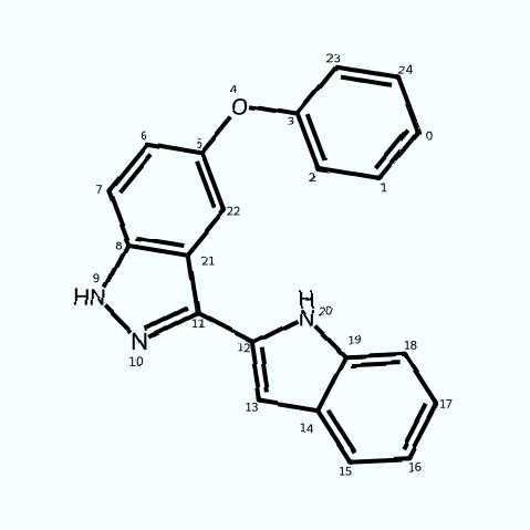 c1ccc(Oc2ccc3[nH]nc(-c4cc5ccccc5[nH]4)c3c2)cc1